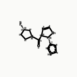 O=C([C@H]1N=CO[C@@H]1c1ccsc1)N1CC[C@H](F)C1